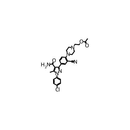 CC(=O)OCCN1CCN(c2ccc(-c3nn(-c4ccc(Cl)cc4)c(C)c3C(N)=O)cc2C#N)CC1